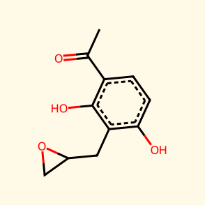 CC(=O)c1ccc(O)c(CC2CO2)c1O